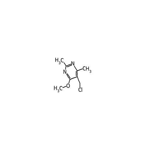 COc1nc(C)nc(C)c1CCl